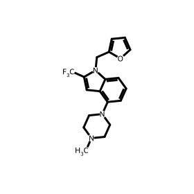 CN1CCN(c2cccc3c2cc(C(F)(F)F)n3Cc2ccco2)CC1